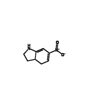 O=[N+]([O-])C1=CCC2CCNC2=C1